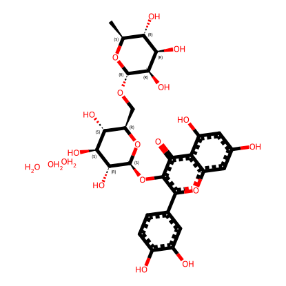 C[C@@H]1O[C@@H](OC[C@H]2O[C@@H](Oc3c(-c4ccc(O)c(O)c4)oc4cc(O)cc(O)c4c3=O)[C@H](O)[C@@H](O)[C@@H]2O)[C@H](O)[C@H](O)[C@H]1O.O.O.O